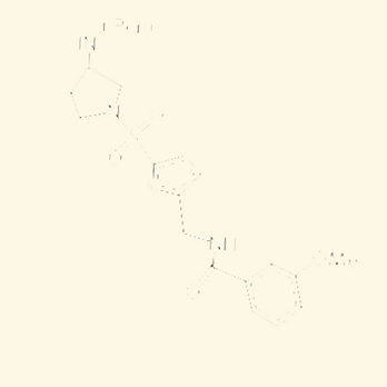 CCCCCNC1CCN(S(=O)(=O)c2ccc(CNC(=O)c3cccc(OC)c3)s2)C1